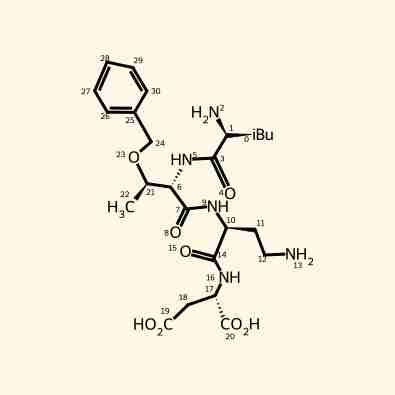 CC[C@H](C)[C@H](N)C(=O)N[C@H](C(=O)N[C@@H](CCN)C(=O)N[C@@H](CC(=O)O)C(=O)O)[C@@H](C)OCc1ccccc1